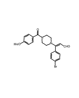 COc1ccc(C(=O)N2CCN(/C(=C/C=O)c3ccc(Br)cc3)CC2)cc1